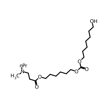 CCCN(C)CCC(=O)OCCCCCCOC(=O)OCCCCCCCO